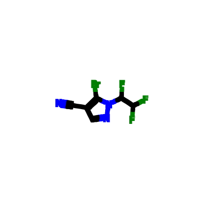 N#Cc1cnn(C(F)C(F)F)c1Br